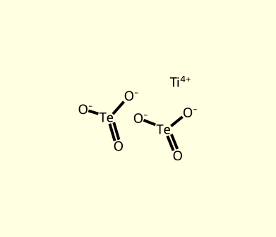 O=[Te]([O-])[O-].O=[Te]([O-])[O-].[Ti+4]